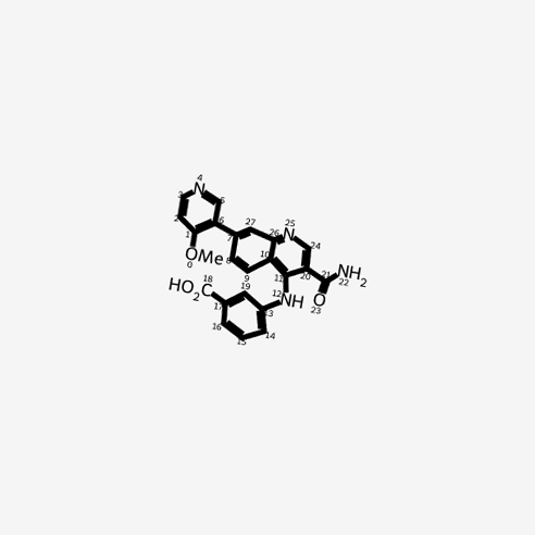 COc1ccncc1-c1ccc2c(Nc3cccc(C(=O)O)c3)c(C(N)=O)cnc2c1